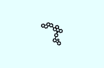 C1=CC(N(c2ccc(-c3cccc4c3oc3ccccc34)cc2)c2ccccc2-c2ccccc2)CC=C1c1ccc2ccc3c4ccccc4ccc3c2c1